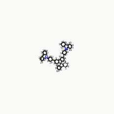 C1=CC2=C(CC1)C(c1ccc(-c3ccc(-n4c5ccccc5c5ccccc54)cc3)cc1)(c1ccc(-c3ccc(-n4c5ccccc5c5ccccc54)cc3)cc1)c1ccccc12